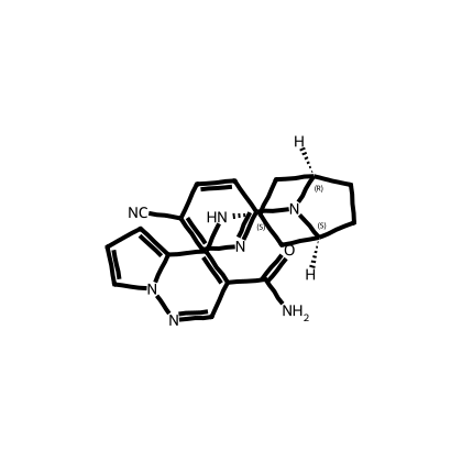 N#Cc1ccc(N2[C@@H]3CC[C@H]2C[C@H](Nc2c(C(N)=O)cnn4cccc24)C3)nc1